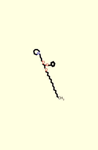 CCCCCCCCCCCCCCCCOCC(COCCCCN1CCCCCC1)OCc1ccccc1